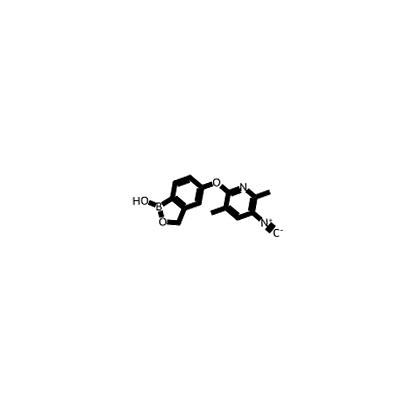 [C-]#[N+]c1cc(C)c(Oc2ccc3c(c2)COB3O)nc1C